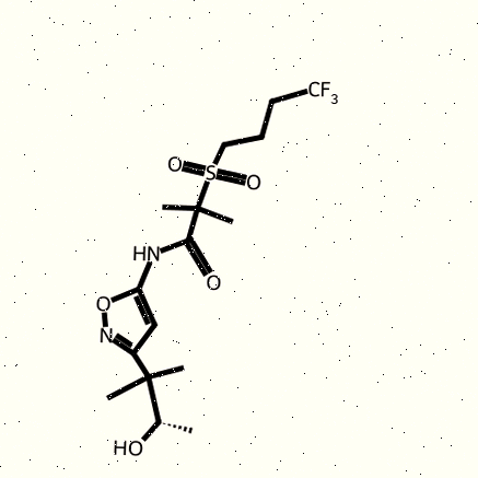 C[C@H](O)C(C)(C)c1cc(NC(=O)C(C)(C)S(=O)(=O)CCCC(F)(F)F)on1